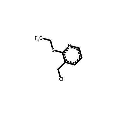 FC(F)(F)CSc1ncccc1CCl